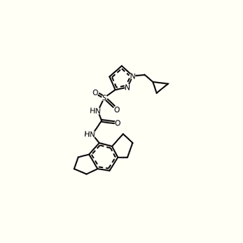 O=C(Nc1c2c(cc3c1CCC3)CCC2)NS(=O)(=O)c1ccn(CC2CC2)n1